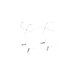 C=C(C)C(=O)OCC(C)(C)CO.C=C(C)C(=O)OCC(CO)(CO)CO